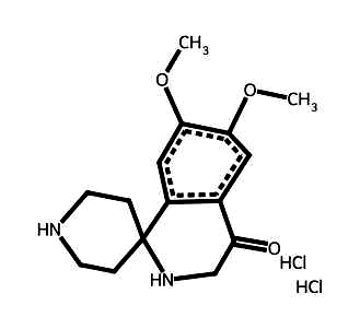 COc1cc2c(cc1OC)C1(CCNCC1)NCC2=O.Cl.Cl